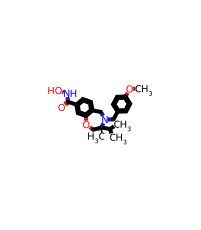 COc1ccc(CN2Cc3ccc(C(=O)NO)cc3OC[C@]2(C)C(C)C)cc1